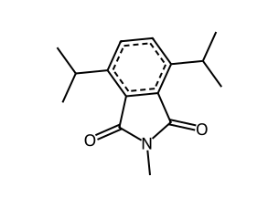 CC(C)c1ccc(C(C)C)c2c1C(=O)N(C)C2=O